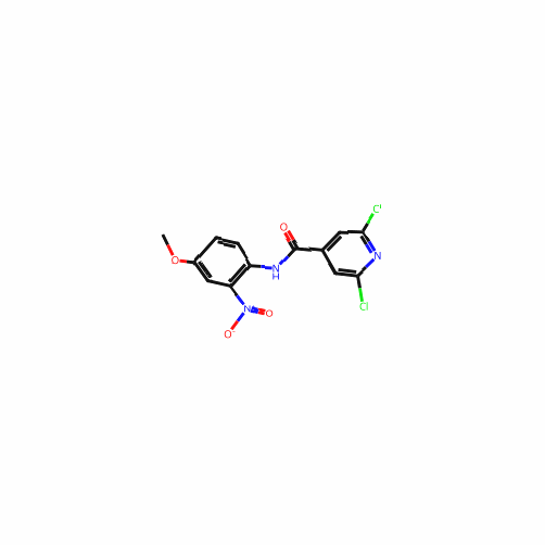 COc1ccc(NC(=O)c2cc(Cl)nc(Cl)c2)c([N+](=O)[O-])c1